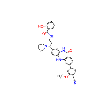 COc1cc(-c2ccc3c(c2)Nc2ccc(C(CCNC(=O)c4ccccc4O)N4CCCCC4)cc2NC3=O)ccc1C#N